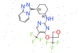 FC(F)(F)c1cnc(N[C@@H]2CCC[C@H](c3nnc4ccccn34)C2)nc1OC1(C(F)(F)F)COC1